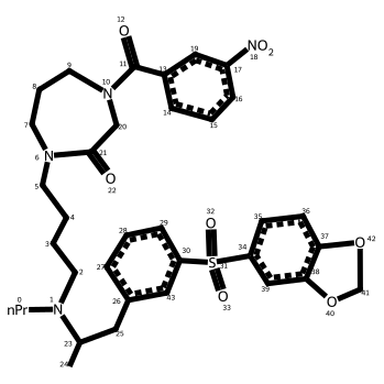 CCCN(CCCCN1CCCN(C(=O)c2cccc([N+](=O)[O-])c2)CC1=O)C(C)Cc1cccc(S(=O)(=O)c2ccc3c(c2)OCO3)c1